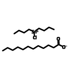 CCCCCCCCCCCC(=O)[O-].CCC[CH2][Sn+]([Cl])[CH2]CCC